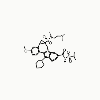 COc1ccc2c(c1)C1CC1(S(=O)(=O)N(C)CCN(C)C)Cn1c-2c(C2CCCCC2)c2ccc(C(=O)NS(=O)(=O)N(C)C)cc21